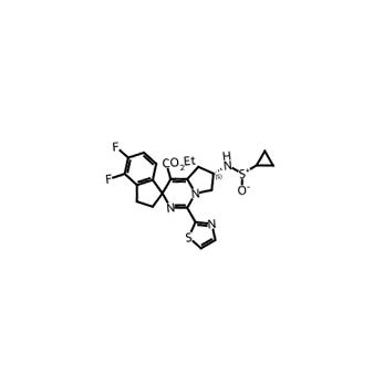 CCOC(=O)C1=C2C[C@H](N[S+]([O-])C3CC3)CN2C(c2nccs2)=NC12CCc1c2ccc(F)c1F